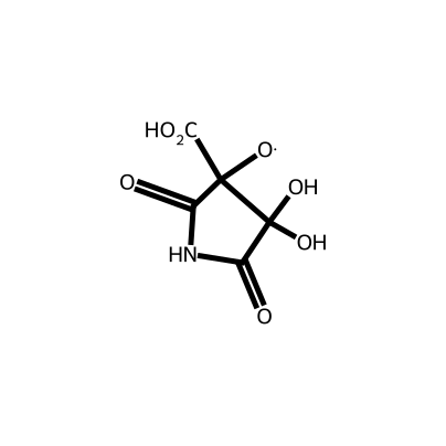 [O]C1(C(=O)O)C(=O)NC(=O)C1(O)O